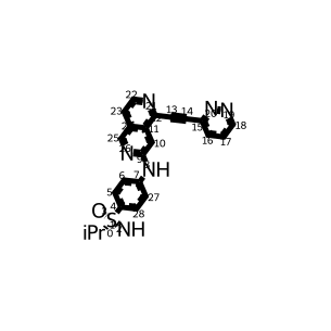 CC(C)S(=N)(=O)c1ccc(Nc2cc3c(C#Cc4cccnn4)nccc3cn2)cc1